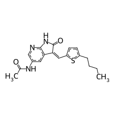 CCCCc1ccc(C=C2C(=O)Nc3ncc(NC(C)=O)cc32)s1